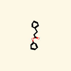 O=C(CCc1cc[c]cc1)Oc1ccccc1